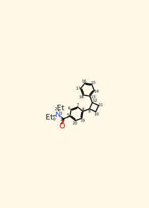 CCN(CC)C(=O)c1ccc(C2CCC2c2ccccc2)cc1